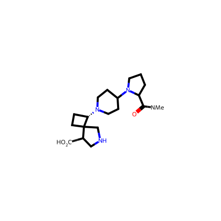 CNC(=O)C1CCCN1C1CCN([C@H]2CCC23CNCC3C(=O)O)CC1